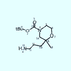 CC(C)(C)OC(=O)N1CCOC(C)(CCCN)C1